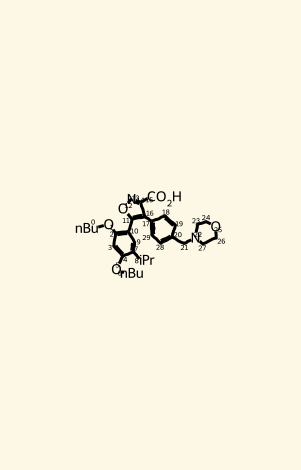 CCCCOc1cc(OCCCC)c(C(C)C)cc1-c1onc(C(=O)O)c1-c1ccc(CN2CCOCC2)cc1